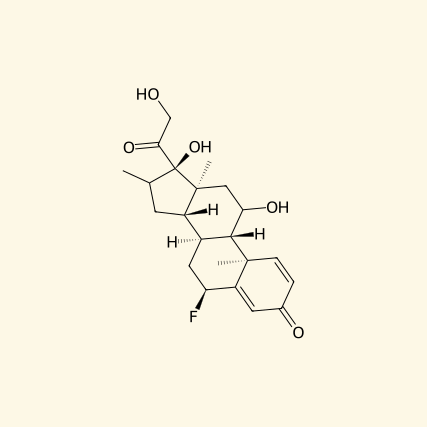 CC1C[C@H]2[C@@H]3C[C@H](F)C4=CC(=O)C=C[C@]4(C)[C@H]3C(O)C[C@]2(C)[C@@]1(O)C(=O)CO